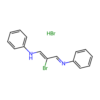 Br.BrC(C=Nc1ccccc1)=CNc1ccccc1